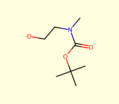 CN(CC[O])C(=O)OC(C)(C)C